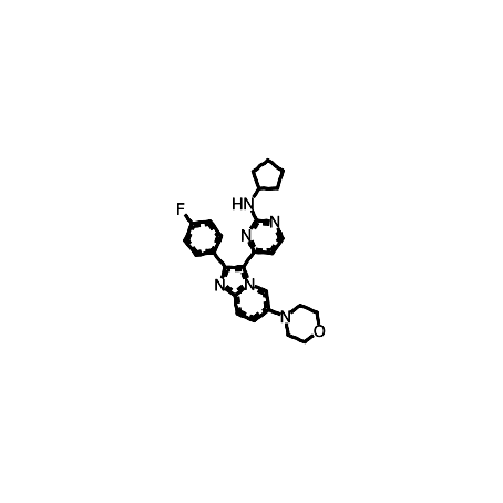 Fc1ccc(-c2nc3ccc(N4CCOCC4)cn3c2-c2ccnc(NC3CCCC3)n2)cc1